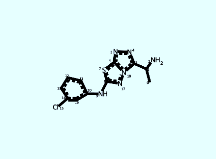 CC(N)c1nnc2sc(Nc3cccc(Cl)c3)nn12